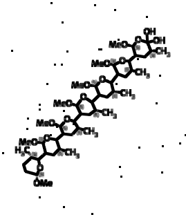 CO[C@@H]1CC[C@H](C)C(C2C[C@H](C)C(C3C[C@H](C)C(C4C[C@H](C)C(C5C[C@H](C)C(C6C[C@H](C)C(C7C[C@H](C)C(O)(O)O[C@@H]7OC)O[C@@H]6OC)O[C@@H]5OC)O[C@@H]4OC)O[C@@H]3OC)O[C@@H]2OC)O1